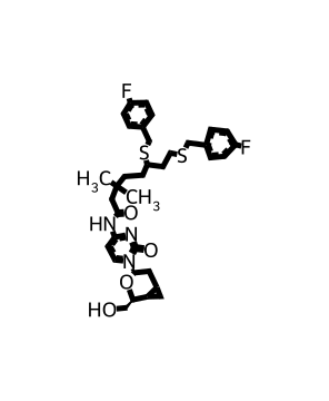 CC(C)(CCC(CCSCc1ccc(F)cc1)SCc1ccc(F)cc1)CC(=O)Nc1ccn([C@H]2CC3CC3[C@@H](CO)O2)c(=O)n1